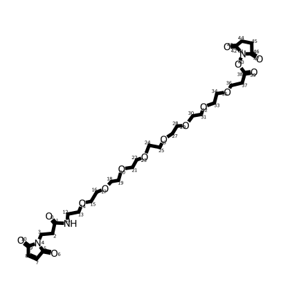 O=C(CCN1C(=O)C=CC1=O)NCCOCCOCCOCCOCCOCCOCCOCCOCCC(=O)ON1C(=O)CCC1=O